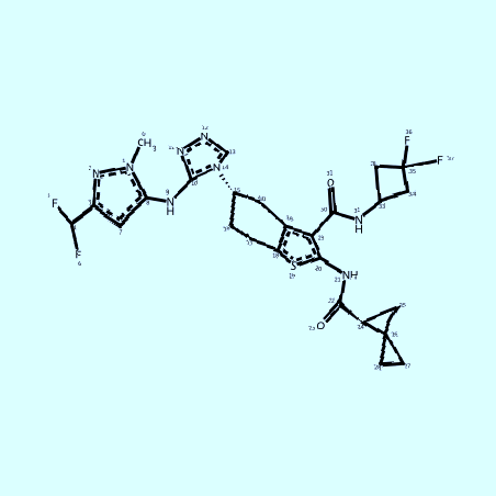 Cn1nc(C(F)F)cc1Nc1nncn1[C@H]1CCc2sc(NC(=O)[C@H]3CC34CC4)c(C(=O)NC3CC(F)(F)C3)c2C1